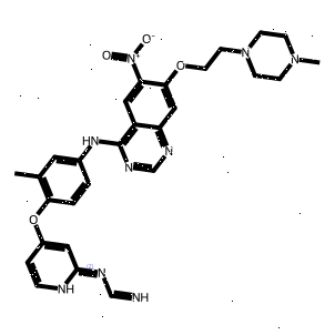 Cc1cc(Nc2ncnc3cc(OCCN4CCN(C)CC4)c([N+](=O)[O-])cc23)ccc1Oc1cc[nH]/c(=N\C=N)c1